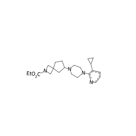 CCOC(=O)N1CC2(CCC(N3CCN(c4ncccc4C4CC4)CC3)C2)C1